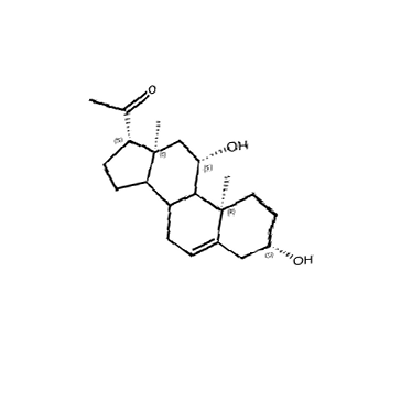 CC(=O)[C@H]1CCC2C3CC=C4C[C@@H](O)CC[C@]4(C)C3[C@@H](O)C[C@@]21C